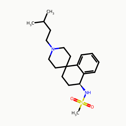 CC(C)CCN1CCC2(CC[C@H](NS(C)(=O)=O)c3ccccc32)CC1